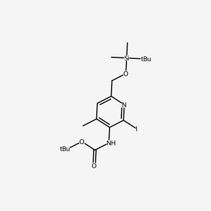 Cc1cc(CO[Si](C)(C)C(C)(C)C)nc(I)c1NC(=O)OC(C)(C)C